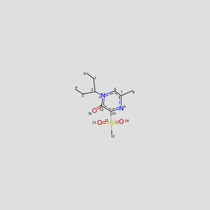 CCC(CC)n1cc(C)nc(S(C)(=O)=O)c1=O